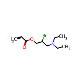 C=CC(=O)OCC(Br)CN(CC)CC